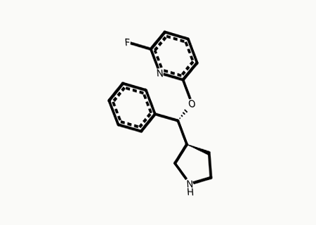 Fc1cccc(O[C@@H](c2ccccc2)[C@H]2CCNC2)n1